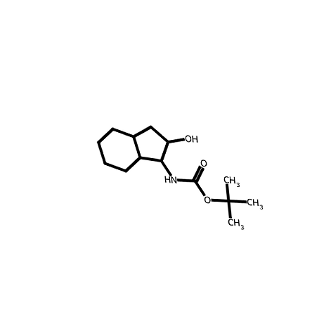 CC(C)(C)OC(=O)NC1C(O)CC2CCCCC21